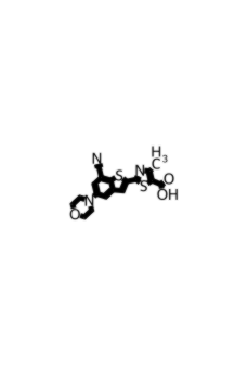 Cc1nc(-c2cc3cc(N4CCOCC4)cc(C#N)c3s2)sc1C(=O)O